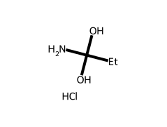 CCC(N)(O)O.Cl